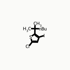 CCCCC(C)(C)c1sc(Cl)cc1I